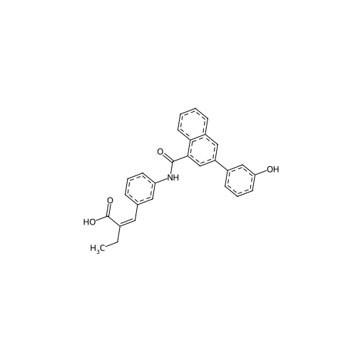 CCC(=Cc1cccc(NC(=O)c2cc(-c3cccc(O)c3)cc3ccccc23)c1)C(=O)O